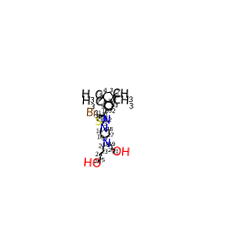 CC1(C)CCC(C)(C)c2cc(-c3nc(N4CCC(N(CCO)CCCCO)CC4)sc3Br)ccc21